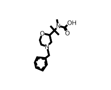 CN(C(=O)O)C(C)(C)C1CN(Cc2ccccc2)CCO1